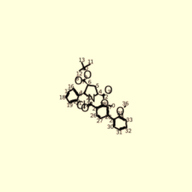 COC(=O)[C@@H]1C[C@H](C(=O)OC(C)(C)C)[C@H](c2ccccc2Cl)N1C(=O)c1ccc(-c2ccccc2OC)cc1